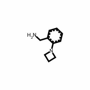 NCc1ccccc1N1CCC1